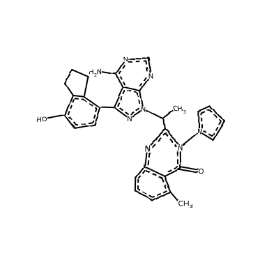 Cc1cccc2nc(C(C)n3nc(-c4ccc(O)c5c4CCC5)c4c(N)ncnc43)n(-n3cccc3)c(=O)c12